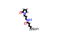 CCCCCCCCCCCCC(=O)NCCCN1CCCC1=O